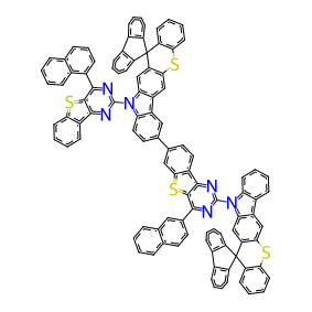 c1ccc2c(c1)Sc1cc3c4ccccc4n(-c4nc(-c5ccc6ccccc6c5)c5sc6cc(-c7ccc8c(c7)c7cc9c(cc7n8-c7nc(-c8cccc%10ccccc8%10)c8sc%10ccccc%10c8n7)C7(c8ccccc8S9)c8ccccc8-c8ccccc87)ccc6c5n4)c3cc1C21c2ccccc2-c2ccccc21